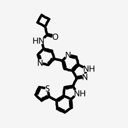 O=C(Nc1cncc(-c2cc3c(-c4cc5c(-c6cccs6)cccc5[nH]4)n[nH]c3cn2)c1)C1CCC1